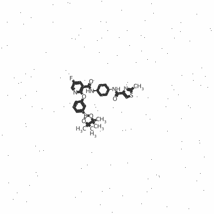 Cc1nc(C(=O)N[C@H]2CC[C@H](NC(=O)c3cc(F)cnc3Oc3cccc(B4OC(C)(C)C(C)(C)O4)c3)CC2)cs1